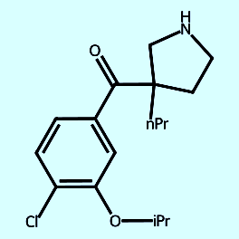 CCCC1(C(=O)c2ccc(Cl)c(OC(C)C)c2)CCNC1